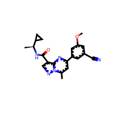 COc1cc(C#N)cc(-c2cc(C)n3ncc(C(=O)N[C@@H](C)C4CC4)c3n2)c1